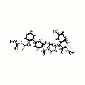 C[C@H](CC(=O)O)Oc1ccccc1-c1ccc(C(=O)N2CCC(N3C(=O)C(C)(CO)Cc4ncc(Cl)cc43)CC2)c(F)c1